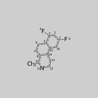 Fc1cc(F)c2ccc3c(Cl)nccc3c2c1